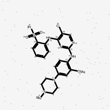 COc1cc(N2CCN(C(C)(C)C)CC2)ccc1Nc1ncc(Cl)c(Nc2ccccc2S(=O)(=O)C(C)C)n1